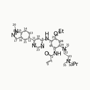 C=CC(=O)Nc1cc(Nc2cc(-c3ccc4c(cnn4C)c3)ncn2)c(OCC)cc1N(C)CCN(C)C(C)C